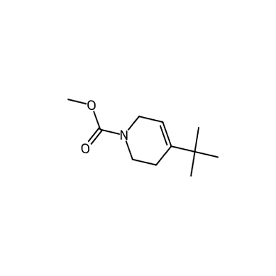 COC(=O)N1CC=C(C(C)(C)C)CC1